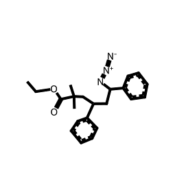 CCOC(=O)C(C)(C)CC(CC(N=[N+]=[N-])c1ccccc1)c1ccccc1